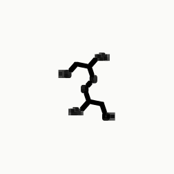 CCCCC(CO)OOC(CO)CCCC